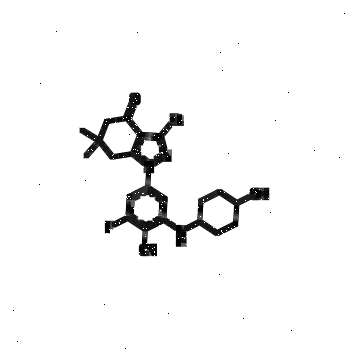 CCc1nn(-c2cc(F)c(C#N)c(NC3CCC(O)CC3)c2)c2c1C(=O)CC(C)(C)C2